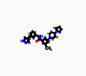 Cc1cc(C(=O)Nc2cccc(-c3cn[nH]c3)c2)cc(N2CCC(N3CCCC3)CC2)c1